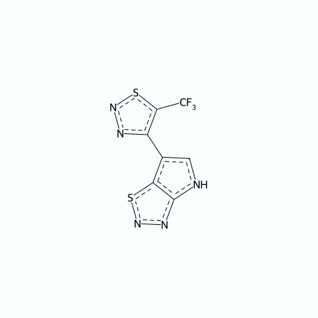 FC(F)(F)c1snnc1-c1c[nH]c2nnsc12